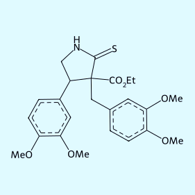 CCOC(=O)C1(Cc2ccc(OC)c(OC)c2)C(=S)NCC1c1ccc(OC)c(OC)c1